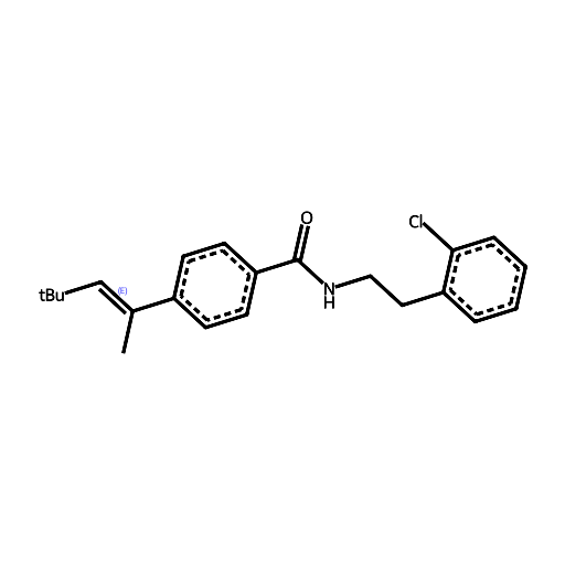 C/C(=C\C(C)(C)C)c1ccc(C(=O)NCCc2ccccc2Cl)cc1